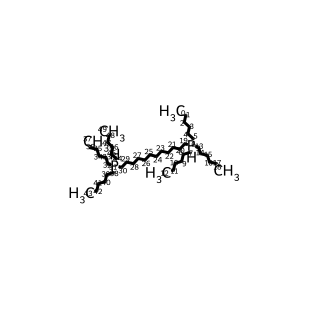 CCCCCC[PH](CCCCCC)(CCCCCC)CCCCCCCCCCCC[PH](CCCCCC)(CCCCCC)CCCCCC